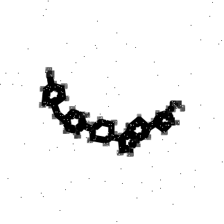 Cn1cc(-c2ccc3c(N4CCN(c5ncc(Cc6ccc(Cl)cc6)cn5)CC4)cnn3c2)cn1